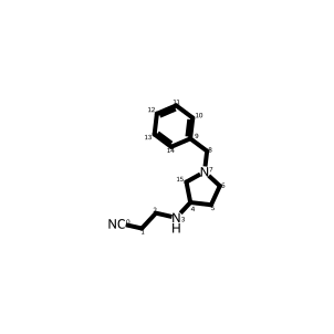 N#CCCNC1CCN(Cc2ccccc2)C1